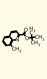 Cc1cccc2ccc(C(=O)OC(C)(C)C)nc12